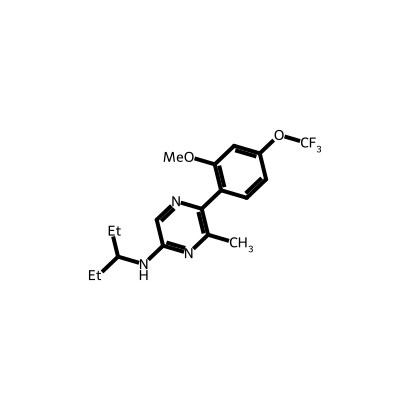 CCC(CC)Nc1cnc(-c2ccc(OC(F)(F)F)cc2OC)c(C)n1